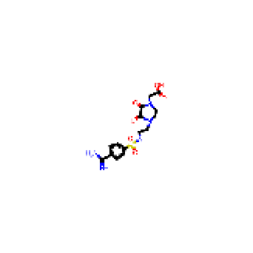 N=C(N)c1ccc(S(=O)(=O)NCCN2CCN(CC(=O)O)C(=O)C2=O)cc1